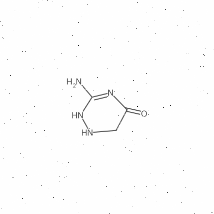 NC1=NC(=O)CNN1